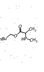 CCCCCOC(=O)C(C)PC